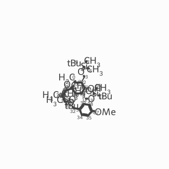 C=C[C@@H](CO[Si](C)(C)C(C)(C)C)[C@@H](O)[C@H](CO[Si](C)(C)C(C)(C)C)[C@H](O[Si](C)(C)C(C)(C)C)C1(C)O[C@@H]1[C@@H](C)COCc1ccc(OC)cc1